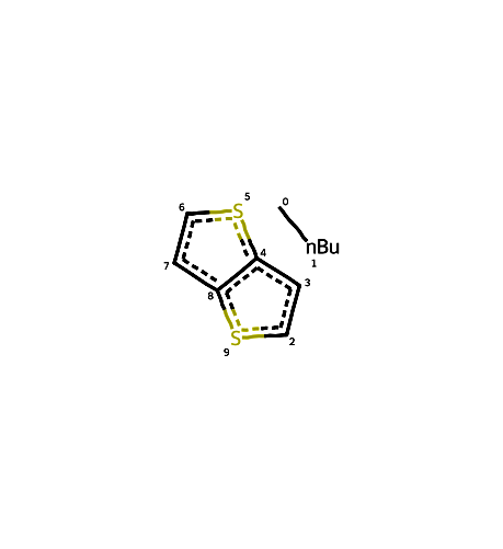 CCCCC.c1cc2sccc2s1